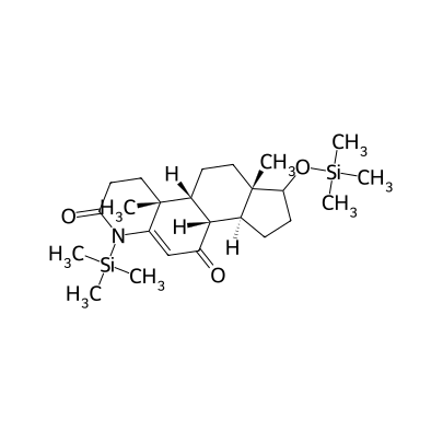 C[C@]12CCC(=O)N([Si](C)(C)C)C1=CC(=O)[C@@H]1[C@H]2CC[C@]2(C)C(O[Si](C)(C)C)CC[C@@H]12